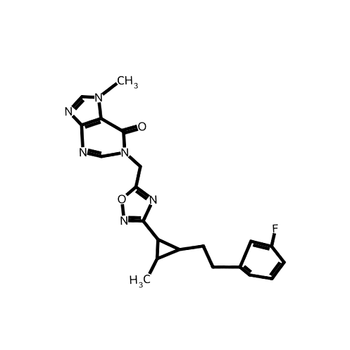 CC1C(CCc2cccc(F)c2)C1c1noc(Cn2cnc3ncn(C)c3c2=O)n1